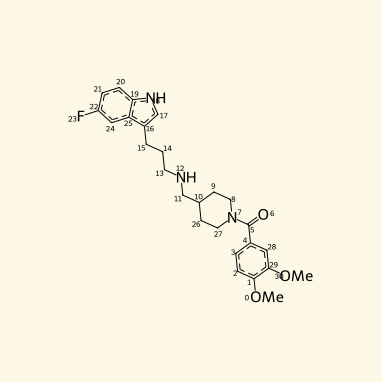 COc1ccc(C(=O)N2CCC(CNCCCc3c[nH]c4ccc(F)cc34)CC2)cc1OC